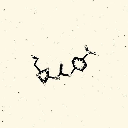 O=CCc1nsc(NC(=O)Oc2ccc([N+](=O)[O-])cc2)n1